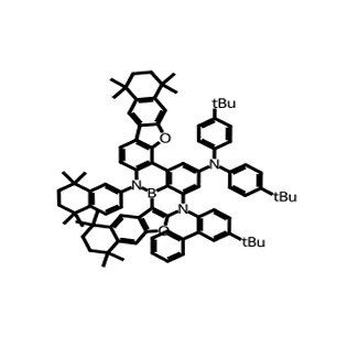 CC(C)(C)c1ccc(N(c2ccc(C(C)(C)C)cc2)c2cc3c4c(c2)N(c2ccc(C(C)(C)C)cc2-c2ccccc2)c2oc5cc6c(cc5c2B4N(c2ccc4c(c2)C(C)(C)CCC4(C)C)c2ccc4c(oc5cc7c(cc54)C(C)(C)CCC7(C)C)c2-3)C(C)(C)CCC6(C)C)cc1